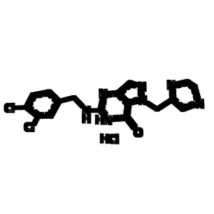 Cl.O=c1[nH]c(NCc2ccc(Cl)c(Cl)c2)nc2cnn(Cc3cnccn3)c12